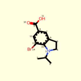 CC(C)N1CCc2cc(C(=O)O)cc(Br)c21